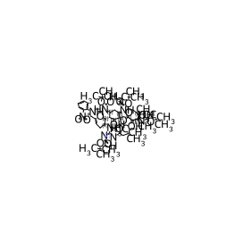 CN(C(=O)OC(C)(C)C)[C@@H]1[C@@H](O)[C@@H](O[C@H]2[C@H](NC(=O)OC(C)(C)C)C[C@H](NC(=O)OC(C)(C)C)C([C@H]3OC(CNc4ccccc4[N+](=O)[O-])=CC[C@H]3N/C(=N/C(=O)OC(C)(C)C)NC(=O)CC(C)(C)C)[C@@H]2O)OC[C@]1(C)O